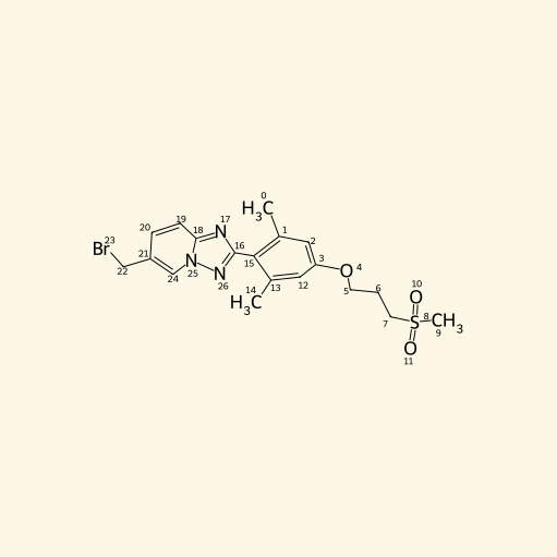 Cc1cc(OCCCS(C)(=O)=O)cc(C)c1-c1nc2ccc(CBr)cn2n1